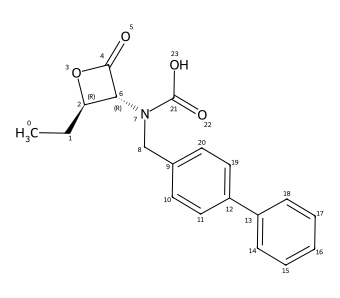 CC[C@H]1OC(=O)[C@@H]1N(Cc1ccc(-c2ccccc2)cc1)C(=O)O